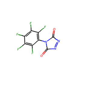 O=C1N=NC(=O)N1c1c(F)c(F)c(F)c(F)c1F